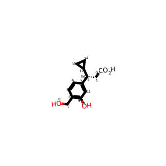 O=C(O)C[C@H](c1ccc(CO)c(O)c1)C1CC1